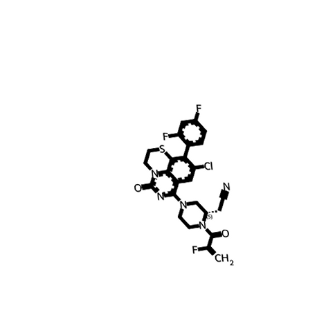 C=C(F)C(=O)N1CCN(c2nc(=O)n3c4c(c(-c5ccc(F)cc5F)c(Cl)cc24)SCC3)C[C@@H]1CC#N